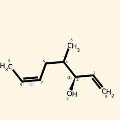 C=C[C@@H](O)C(C)C/C=C\C